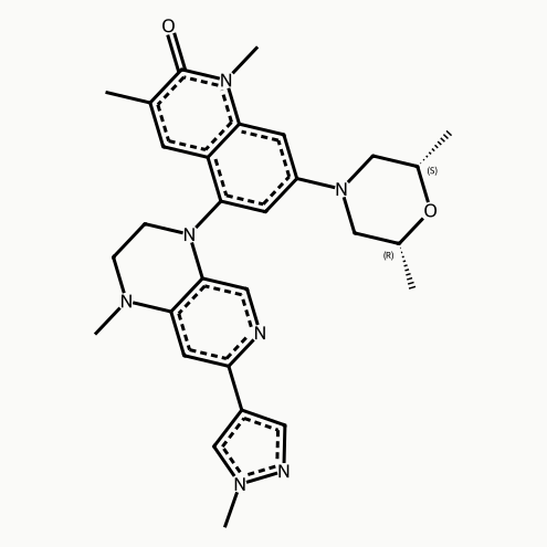 Cc1cc2c(N3CCN(C)c4cc(-c5cnn(C)c5)ncc43)cc(N3C[C@@H](C)O[C@@H](C)C3)cc2n(C)c1=O